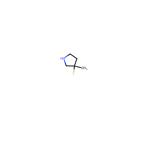 CC1(F)CCNC1